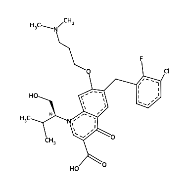 CC(C)[C@@H](CO)n1cc(C(=O)O)c(=O)c2cc(Cc3cccc(Cl)c3F)c(OCCCN(C)C)cc21